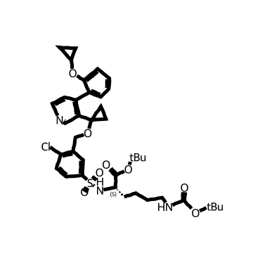 CC(C)(C)OC(=O)NCCCC[C@H](NS(=O)(=O)c1ccc(Cl)c(COC2(c3cnccc3-c3ccccc3OC3CC3)CC2)c1)C(=O)OC(C)(C)C